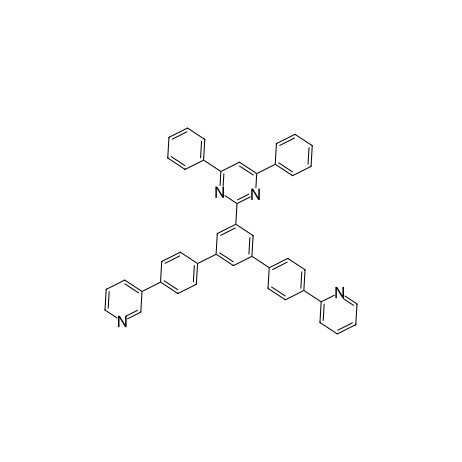 c1ccc(-c2cc(-c3ccccc3)nc(-c3cc(-c4ccc(-c5cccnc5)cc4)cc(-c4ccc(-c5ccccn5)cc4)c3)n2)cc1